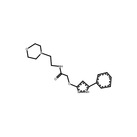 O=C(COc1cc(-c2ccccc2)[nH]n1)NCCN1CCOCC1